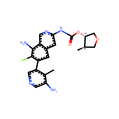 Cc1c(N)cncc1-c1cc2cc(NC(=O)O[C@@H]3COC[C@H]3C)ncc2c(N)c1F